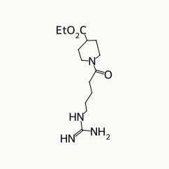 CCOC(=O)C1CCN(C(=O)CCCCNC(=N)N)CC1